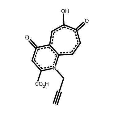 C#CCn1c(C(=O)O)cc(=O)c2cc(O)c(=O)ccc21